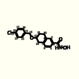 O=C(NO)c1ccc2c(c1)CCC(OCc1ccc(Cl)cc1)C2